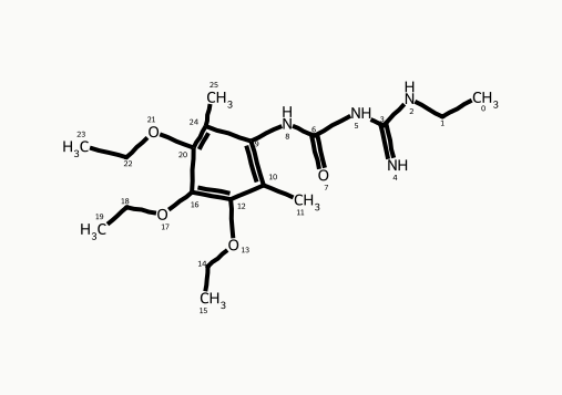 CCNC(=N)NC(=O)Nc1c(C)c(OCC)c(OCC)c(OCC)c1C